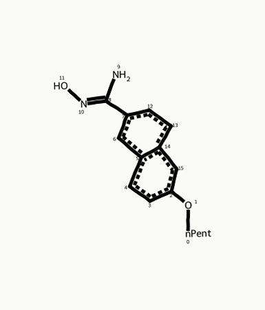 CCCCCOc1ccc2cc(C(N)=NO)ccc2c1